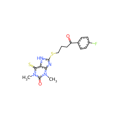 Cn1c(=S)c2[nH]c(SCCCC(=O)c3ccc(F)cc3)nc2n(C)c1=O